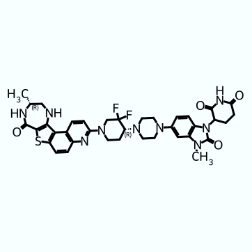 C[C@@H]1CNc2c(sc3ccc4nc(N5CC[C@@H](N6CCN(c7ccc8c(c7)n(C)c(=O)n8C7CCC(=O)NC7=O)CC6)C(F)(F)C5)ccc4c23)C(=O)N1